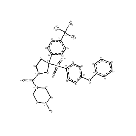 CC(=O)N1CCN(C(=O)N2CCC(c3ccc(C(O)(C(F)(F)F)C(F)(F)F)cc3)(S(=O)(=O)c3ccc(Oc4ccccc4)cc3)C2)CC1